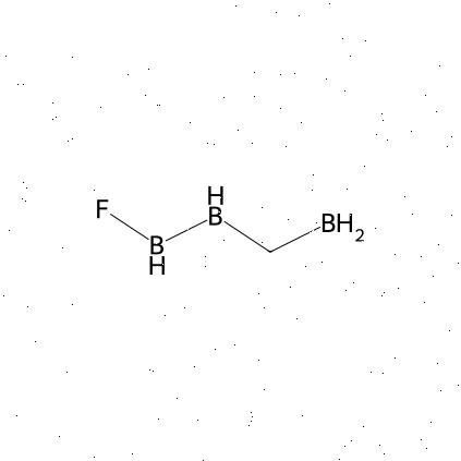 BCBBF